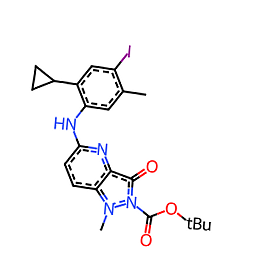 Cc1cc(Nc2ccc3c(n2)c(=O)n(C(=O)OC(C)(C)C)n3C)c(C2CC2)cc1I